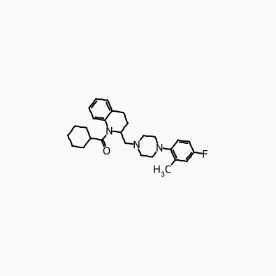 Cc1cc(F)ccc1N1CCN(CC2CCc3ccccc3N2C(=O)C2CCCCC2)CC1